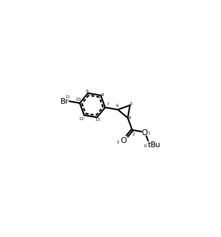 CC(C)(C)OC(=O)C1CC1c1ccc(Br)cc1